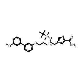 COc1cccc(-c2cccc(OCCC[C@@H](Cn3cnc(C(N)=O)c3)O[Si](C)(C)C(C)(C)C)c2)c1